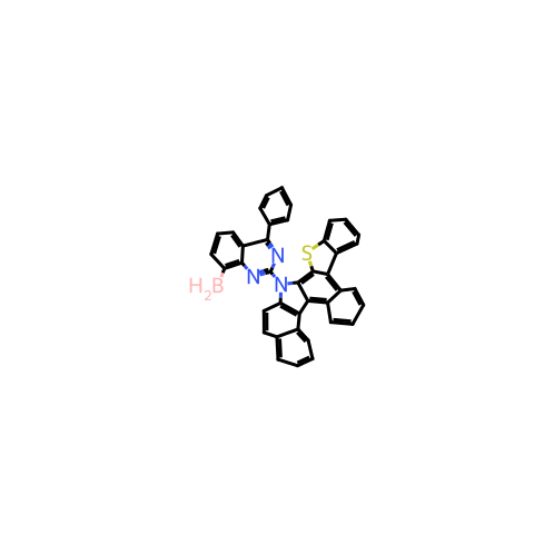 Bc1cccc2c(-c3ccccc3)nc(-n3c4ccc5ccccc5c4c4c5ccccc5c5c6ccccc6sc5c43)nc12